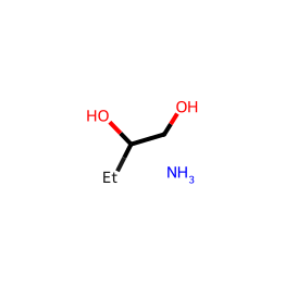 CCC(O)CO.N